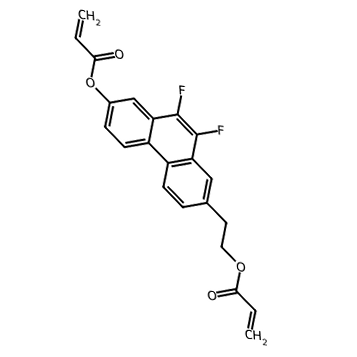 C=CC(=O)OCCc1ccc2c(c1)c(F)c(F)c1cc(OC(=O)C=C)ccc12